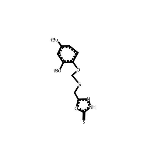 CC(C)(C)c1ccc(OCSCc2n[nH]c(=S)o2)c(C(C)(C)C)c1